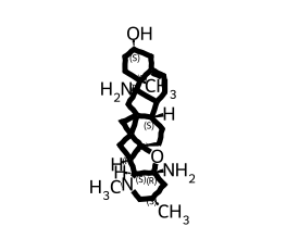 C[C@@H]1CN(C)[C@H]2[C@H]3CC45CC46C[C@@]4(N)C(CC=C7C[C@@H](O)CC[C@@]74C)[C@@H]6CC[C@@]35O[C@]2(N)C1